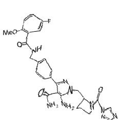 COc1ccc(F)cc1C(=O)NCc1ccc(-c2nn(CC3CCN3C(=O)n3cncn3)c(N)c2C(N)=O)cc1